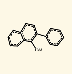 CCCCc1c(-c2ccccc2)ccc2ccccc12